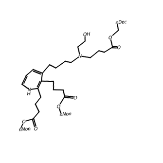 CCCCCCCCCCCOC(=O)CCCN(CCO)CCCCC1=CC=CNC(CCCC(=O)OCCCCCCCCC)=C1CCCC(=O)OCCCCCCCCC